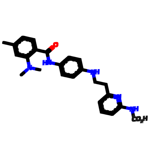 Cc1ccc(C(=O)Nc2ccc(NCCc3cccc(NC(=O)O)n3)cc2)c(N(C)C)c1